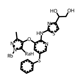 Cc1n[n]([Rb])[c]([RaH])c1Oc1cc(Sc2ccccc2)cnc1Nc1nc(C(O)CO)cs1